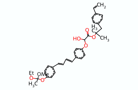 C=Cc1ccc(CC(C)(C)OC(=O)C(O)Oc2ccc(C=CC=Cc3ccc(OC(C)(OC)OCC)cc3)cc2)cc1